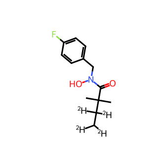 [2H]C([2H])C([2H])([2H])C(C)(C)C(=O)N(O)Cc1ccc(F)cc1